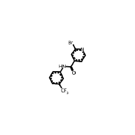 O=C(Nc1cccc(C(F)(F)F)c1)c1ccnc(Br)c1